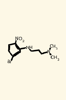 CN(C)CCCNc1cc(Br)ccc1[N+](=O)[O-]